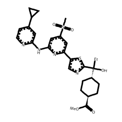 CCC(O)(c1ncc(-c2cc(S(C)(=O)=O)cc(Nc3cc(C4CC4)ccn3)n2)s1)[C@H]1CC[C@H](C(=O)OC)CC1